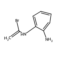 C=C(Br)Nc1ccccc1N